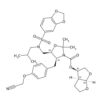 CC(C)CN(C[C@H]1OC(C)(C)N(C(=O)O[C@H]2CO[C@H]3OCC[C@H]32)[C@H]1Cc1ccc(OCC#N)cc1)S(=O)(=O)c1ccc2c(c1)OCO2